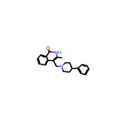 Cc1[nH]c(=O)c2ccccc2c1CN1CCC(c2ccccc2)CC1